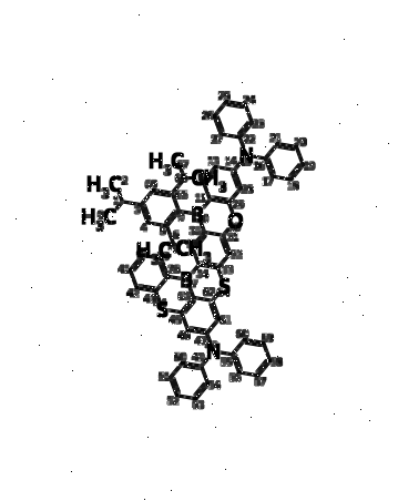 CC(C)c1cc(C(C)C)c(B2c3ccc(N(c4ccccc4)c4ccccc4)cc3Oc3cc4c(cc32)B2c3ccccc3Sc3cc(N(c5ccccc5)c5ccccc5)cc(c32)S4)c(C(C)C)c1